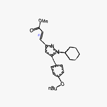 CCCCOc1ccc(-c2cc(/C=C/C(=O)OC)nn2C2CCCCC2)cc1